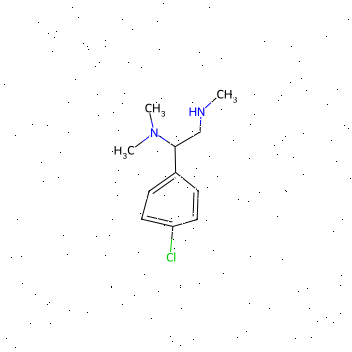 CNCC(c1ccc(Cl)cc1)N(C)C